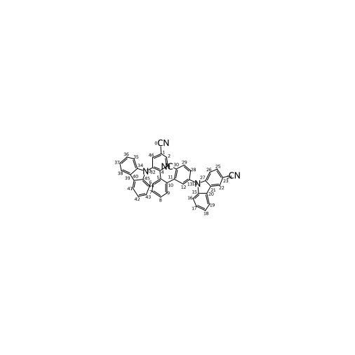 N#Cc1ccc(-c2ccccc2-c2cc(-n3c4ccccc4c4cc(C#N)ccc43)ccc2C#N)c(-n2c3ccccc3c3ccccc32)c1